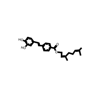 CC(C)=CCCC(C)=CCOC(=O)c1ccc(C=Cc2ccc(O)c(O)c2)cc1